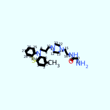 Cc1ccc2c(c1)N(CCCN1CCN(CCNC(=O)CN)CC1)c1ccccc1S2